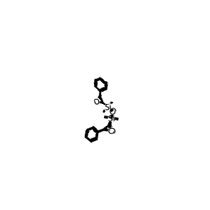 C[Si](C)(O[Si](C)(C)C1OC1c1ccccc1)C1OC1c1ccccc1